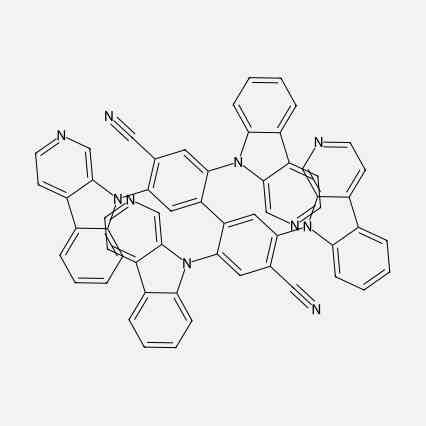 N#Cc1cc(-n2c3ccccc3c3ccncc32)c(-c2cc(-n3c4ccccc4c4ccncc43)c(C#N)cc2-n2c3ccccc3c3ccncc32)cc1-n1c2ccccc2c2ccncc21